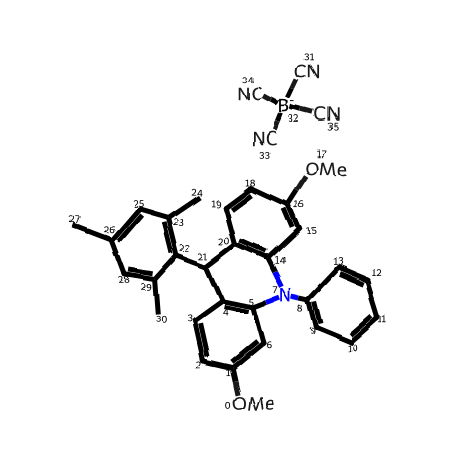 COc1ccc2c(c1)N(c1ccccc1)c1cc(OC)ccc1C2c1c(C)cc(C)cc1C.N#C[B-](C#N)(C#N)C#N